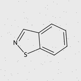 c1ccc2sncc2c1